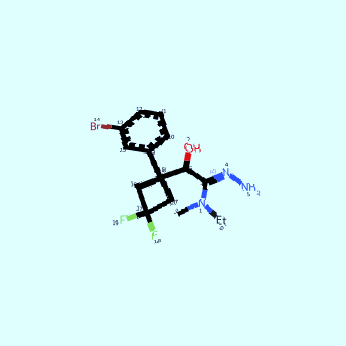 CCN(C)/C(=N\N)C(O)C1(c2cccc(Br)c2)CC(F)(F)C1